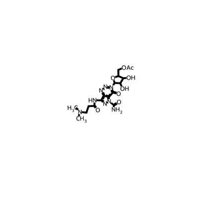 CC(=O)OCC1OC(n2nnc3c(NC(=O)CCN(C)C)nn(C(N)=O)c3c2=O)C(O)C1O